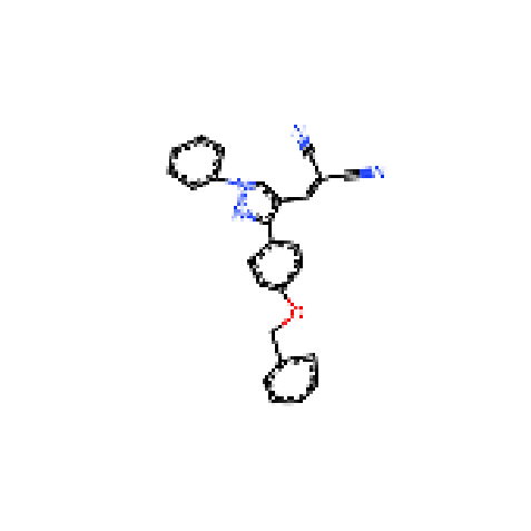 N#CC(C#N)=Cc1cn(-c2ccccc2)nc1-c1ccc(OCc2ccccc2)cc1